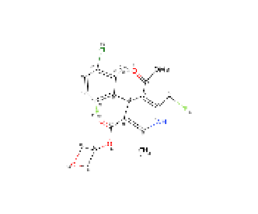 COC(=O)C1=C(CF)NC(C)=C(C(=O)OC2COC2)C1c1c(F)ccc(Cl)c1C(F)(F)F